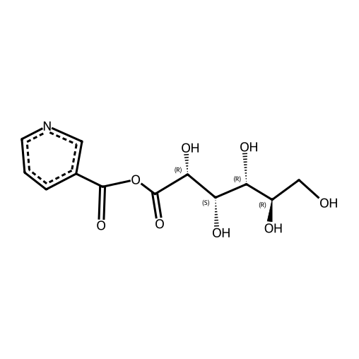 O=C(OC(=O)[C@H](O)[C@@H](O)[C@H](O)[C@H](O)CO)c1cccnc1